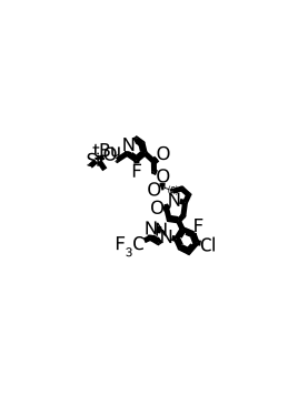 CC(C)(C)[Si](C)(C)OCc1nccc(C(=O)COC(=O)[C@@H]2CCC3CC(c4c(-n5cc(C(F)(F)F)nn5)ccc(Cl)c4F)=CC(=O)N32)c1F